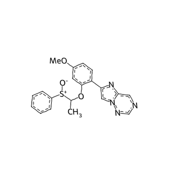 COc1ccc(-c2cn3ncncc3n2)c(OC(C)[S+]([O-])c2ccccc2)c1